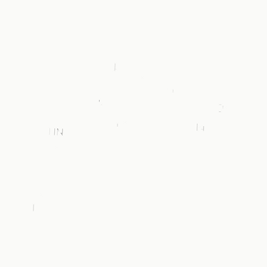 FC(F)(F)c1ccc(NCCCOc2c(Cl)cc(OCC=C(Br)Br)cc2Cl)cc1